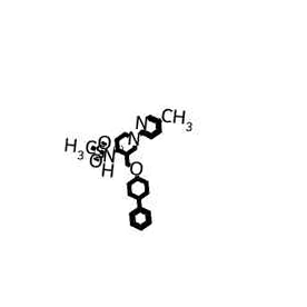 Cc1ccc(N2CC[C@H](NS(C)(=O)=O)C(COC3CCC(c4ccccc4)CC3)C2)nc1